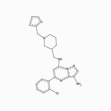 Bc1cnn2c(NCC3CCCN(Cc4ccco4)C3)cc(-c3ccccc3Cl)nc12